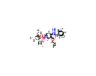 CC(C)(C)OC(=O)N1CCC(NCc2ccccc2)C(OCCF)C1